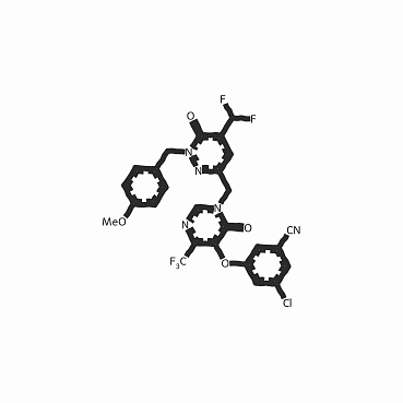 COc1ccc(Cn2nc(Cn3cnc(C(F)(F)F)c(Oc4cc(Cl)cc(C#N)c4)c3=O)cc(C(F)F)c2=O)cc1